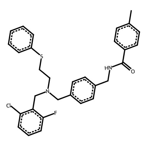 Cc1ccc(C(=O)NCc2ccc(CN(CCSc3ccccc3)Cc3c(F)cccc3Cl)cc2)cc1